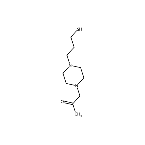 CC(=O)CN1CCN(CCCS)CC1